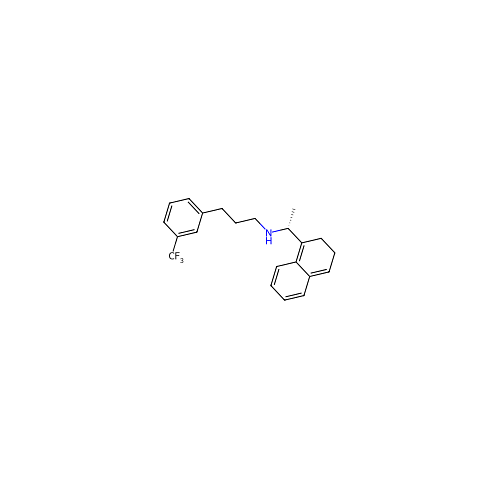 C[C@@H](NCCCc1cccc(C(F)(F)F)c1)C1=c2ccccc2=CCC1